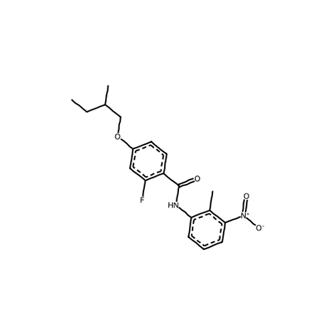 CCC(C)COc1ccc(C(=O)Nc2cccc([N+](=O)[O-])c2C)c(F)c1